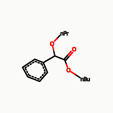 CCCCOC(=O)C(OCCC)c1ccccc1